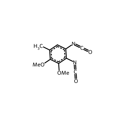 COc1c(C)cc(N=C=O)c(N=C=O)c1OC